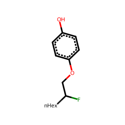 CCCCCCC(F)COc1ccc(O)cc1